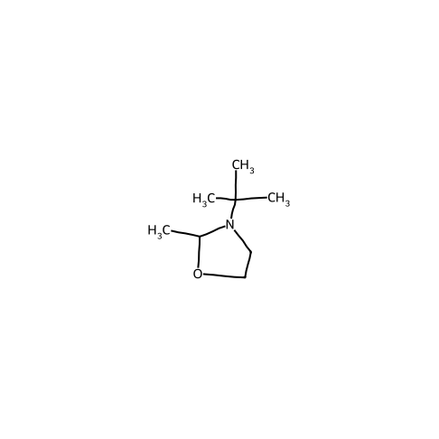 CC1OCCN1C(C)(C)C